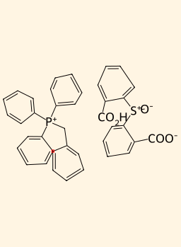 O=C([O-])c1ccccc1[S+]([O-])c1ccccc1C(=O)O.c1ccc(C[P+](c2ccccc2)(c2ccccc2)c2ccccc2)cc1